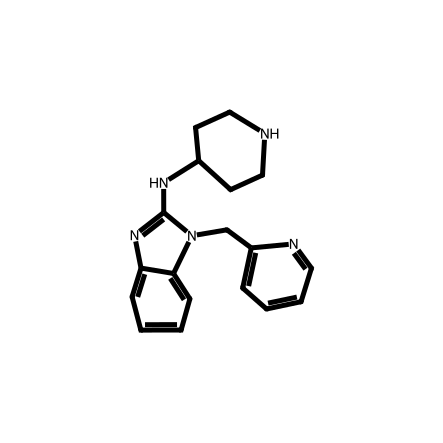 c1ccc(Cn2c(NC3CCNCC3)nc3ccccc32)nc1